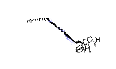 CCCCC/C=C/CC/C=C/C=C/C/C=C/CCC(OO)C(=O)O